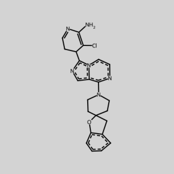 NC1=C(Cl)C(c2ncc3c(N4CCC5(CC4)Cc4ccccc4O5)nccn23)CC=N1